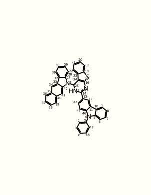 c1ccc(-n2c3ccccc3c3cc(C4=Nc5sc6ccccc6c5C(n5c6ccccc6c6cc7ccccc7cc65)N4)ccc32)cc1